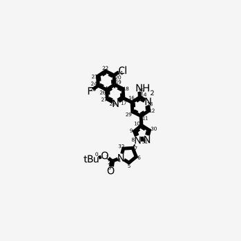 CC(C)(C)OC(=O)N1CC[C@@H](n2cc(-c3cnc(N)c(-c4cc5c(Cl)ccc(F)c5cn4)c3)cn2)C1